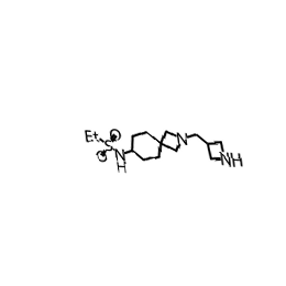 CCS(=O)(=O)NC1CCC2(CC1)CN(CC1CNC1)C2